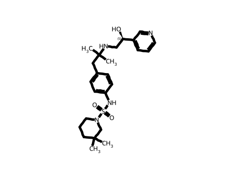 CC1(C)CCCN(S(=O)(=O)Nc2ccc(CC(C)(C)NC[C@@H](O)c3cccnc3)cc2)C1